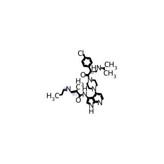 CC/C=N\C=C(/C)C(=O)Nc1c[nH]c2nccc(N3CCN(C(=O)[C@H](CNC(C)C)c4ccc(Cl)cc4)CC3)c12